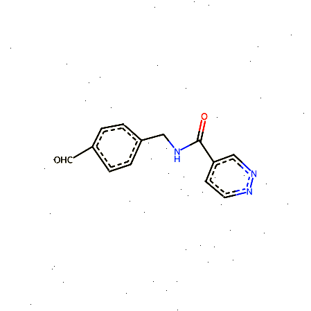 O=Cc1ccc(CNC(=O)c2ccnnc2)cc1